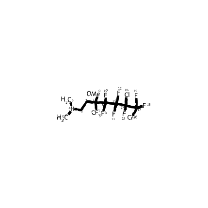 COC(CCN(C)C)(C(F)(F)F)C(F)(F)C(F)(F)C(F)(Cl)C(F)(F)Cl